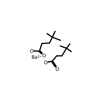 CC(C)(C)CCC(=O)[O-].CC(C)(C)CCC(=O)[O-].[Ba+2]